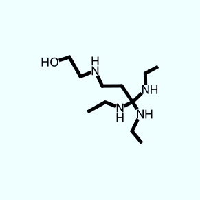 CCNC(CCNCCO)(NCC)NCC